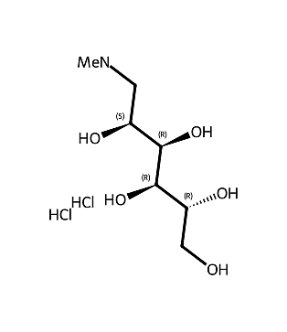 CNC[C@H](O)[C@@H](O)[C@H](O)[C@H](O)CO.Cl.Cl